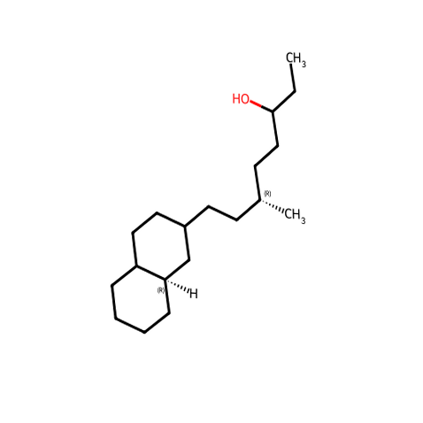 CCC(O)CC[C@H](C)CCC1CCC2CCCC[C@@H]2C1